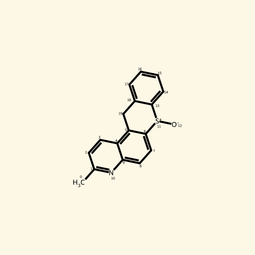 Cc1ccc2c3c(ccc2n1)[S+]([O-])c1ccccc1C3